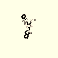 O=C(O)CC(NC(=O)CN1CCc2ccccc2C1=O)C(=O)CNS(=O)(=O)c1ccccc1